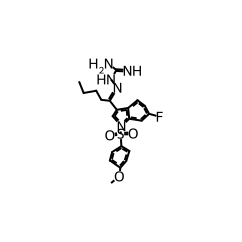 CCCCC(=NNC(=N)N)c1cn(S(=O)(=O)c2ccc(OC)cc2)c2cc(F)ccc12